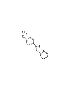 FC(F)(F)Oc1ccc(NCc2ccccn2)cc1